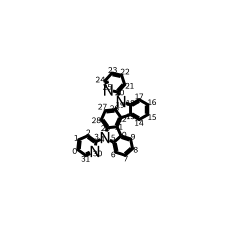 c1ccc(-n2c3ccccc3c3c4c5ccccc5n(-c5ccccn5)c4ccc32)nc1